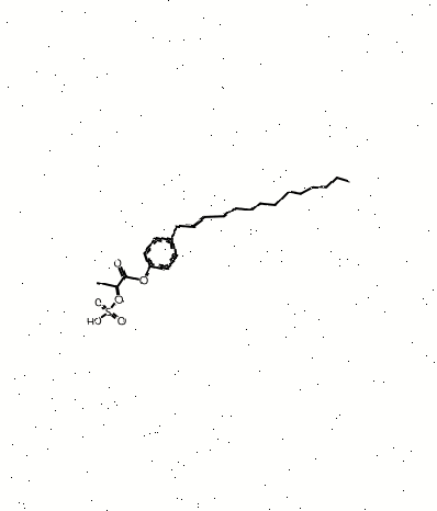 CCCCCCCCCCCCCCc1ccc(OC(=O)C(C)OS(=O)(=O)O)cc1